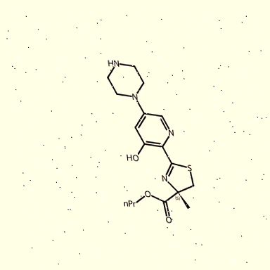 CCCOC(=O)[C@@]1(C)CSC(c2ncc(N3CCNCC3)cc2O)=N1